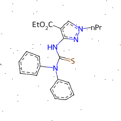 CCCn1cc(C(=O)OCC)c(NC(=S)N(c2ccccc2)c2ccccc2)n1